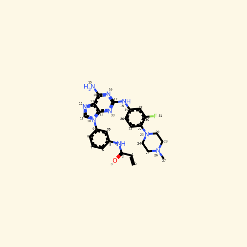 C=CC(=O)Nc1cccc(-n2cnc3c(N)nc(Nc4ccc(N5CCN(C)CC5)c(F)c4)nc32)c1